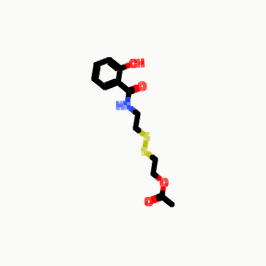 CC(=O)OCCSSCCNC(=O)c1ccccc1O